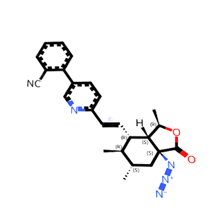 C[C@H]1[C@H](/C=C/c2ccc(-c3ccccc3C#N)cn2)[C@@H]2[C@@H](C)OC(=O)[C@]2(N=[N+]=[N-])C[C@@H]1C